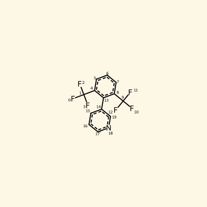 FC(F)(F)c1cccc(C(F)(F)F)c1-c1cc[c]nc1